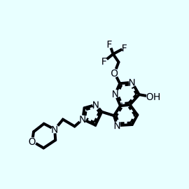 Oc1nc(OCC(F)(F)F)nc2c(-c3cn(CCN4CCOCC4)cn3)nccc12